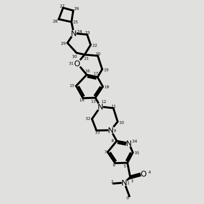 CN(C)C(=O)c1ccc(N2CCN(c3ccc4c(c3)CCC3(CCN(C5CCC5)CC3)O4)CC2)nc1